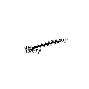 CC(C)(CCCCCCCCCCCCCCC(=O)O)C(C)(C)C(=O)O